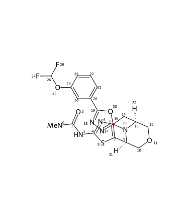 CNC(=O)Nc1nc2c(s1)[C@@H]1COC[C@H](C2)N1c1nnc(-c2cccc(OC(F)F)c2)o1